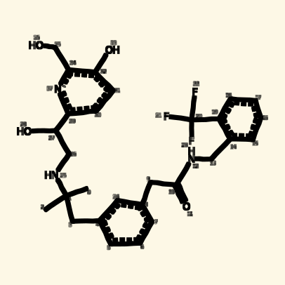 CC(C)(Cc1cccc(CC(=O)NCc2ccccc2C(F)(F)F)c1)NCC(O)c1ccc(O)c(CO)n1